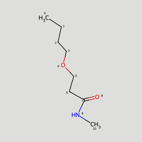 CCCCOCCC(=O)NC